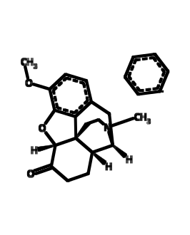 COc1ccc2c3c1O[C@H]1C(=O)CC[C@H]4[C@@H](C2)N(C)CC[C@]314.[c]1ccccc1